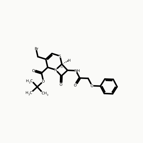 CC(C)(C)OC(=O)C1C(CBr)=CS[C@H]2C(NC(=O)COc3ccccc3)C(=O)N12